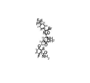 NC(=O)c1c(F)ccc(OCCN(CC(N)c2nc(-c3ccc(C(F)(F)F)cc3)c(Br)o2)C(=O)O)c1F